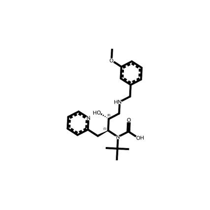 COc1cccc(CNC[C@@H](O)[C@H](Cc2ccccn2)N(C(=O)O)C(C)(C)C)c1